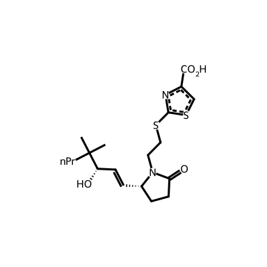 CCCC(C)(C)[C@@H](O)/C=C/[C@H]1CCC(=O)N1CCSc1nc(C(=O)O)cs1